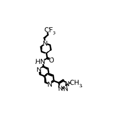 Cn1cc(-c2cc3cc(NC(=O)C4CCN(CCC(F)(F)F)CC4)ncc3cn2)nn1